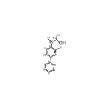 Cc1cc(-c2ccccc2)ccc1N(C)C(C)O